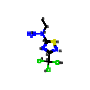 CCN(N)c1nc(C(Cl)(Cl)Cl)ns1